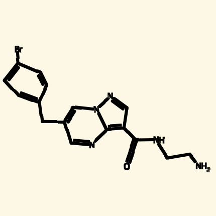 NCCNC(=O)c1cnn2cc(Cc3ccc(Br)cc3)cnc12